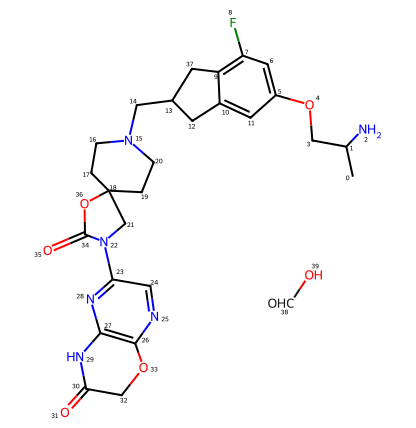 CC(N)COc1cc(F)c2c(c1)CC(CN1CCC3(CC1)CN(c1cnc4c(n1)NC(=O)CO4)C(=O)O3)C2.O=CO